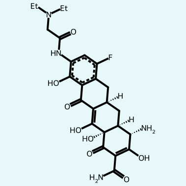 CCN(CC)CC(=O)Nc1cc(F)c2c(c1O)C(=O)C1=C(O)[C@]3(O)C(=O)C(C(N)=O)=C(O)[C@@H](N)[C@@H]3C[C@@H]1C2